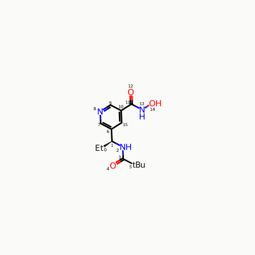 CC[C@H](NC(=O)C(C)(C)C)c1cncc(C(=O)NO)c1